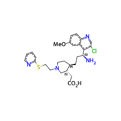 COc1ccc2ncc(Cl)c([C@@H](N)CC[C@@H]3CCN(CCSc4ccccn4)C[C@H]3CC(=O)O)c2c1